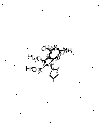 Cc1c(C(=O)O)n(C2CCCC2)c2nc(N)nc(Cl)c12